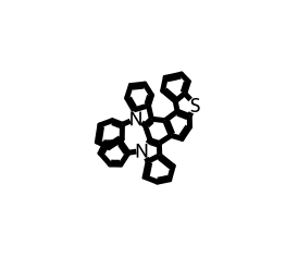 c1ccc(-n2c3ccccc3c3c4ccc5sc6ccccc6c5c4c4c5ccccc5n(-c5ccccc5)c4c32)cc1